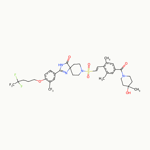 Cc1cc(C(=O)N2CCC(C)(O)CC2)cc(C)c1C=CS(=O)(=O)N1CCC2(CC1)N=C(c1ccc(OCCCC(F)(F)C(F)(F)F)c(C(F)(F)F)c1)NC2=O